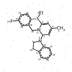 CCSC1=CC(C)=CC(N2CCc3ccccc32)N1Cc1cccc(F)c1